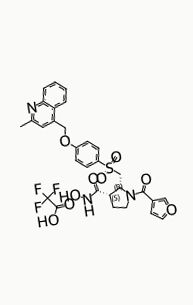 Cc1cc(COc2ccc(S(=O)(=O)C[C@H]3[C@@H](C(=O)NO)CCN3C(=O)c3ccoc3)cc2)c2ccccc2n1.O=C(O)C(F)(F)F